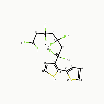 FC(F)CC(F)(F)CC(F)(F)CC(F)(F)c1ccsc1-c1cccs1